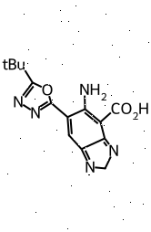 CC(C)(C)c1nnc(-c2cc3c(c(C(=O)O)c2N)=NCN=3)o1